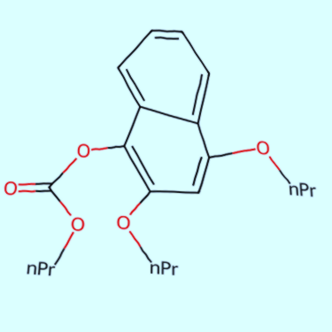 CCCOC(=O)Oc1c(OCCC)cc(OCCC)c2ccccc12